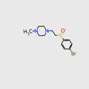 CN1CCN(CC[S+]([O-])c2ccc(Br)cc2)CC1